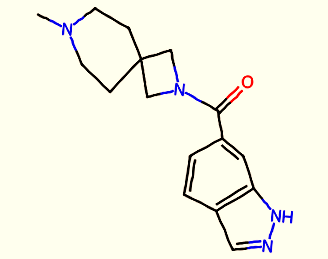 CN1CCC2(CC1)CN(C(=O)c1ccc3cn[nH]c3c1)C2